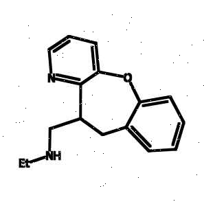 CCNCC1Cc2ccccc2Oc2cccnc21